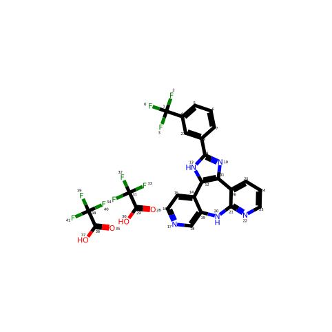 FC(F)(F)c1cccc(-c2nc3c([nH]2)-c2ccncc2Nc2ncccc2-3)c1.O=C(O)C(F)(F)F.O=C(O)C(F)(F)F